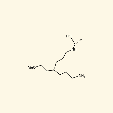 COCCN(CCCN)CCCN[C@@H](C)O